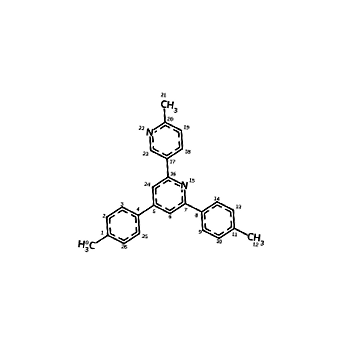 Cc1ccc(-c2cc(-c3ccc(C)cc3)nc(-c3ccc(C)nc3)c2)cc1